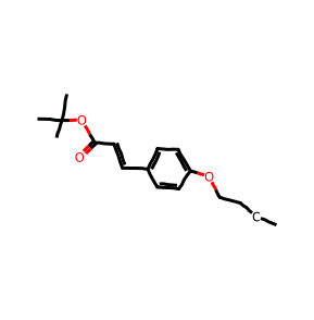 CCCCOc1ccc(C=CC(=O)OC(C)(C)C)cc1